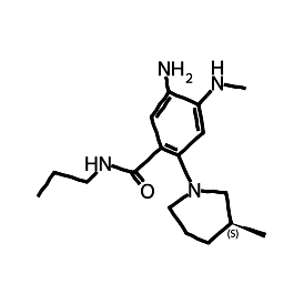 CCCNC(=O)c1cc(N)c(NC)cc1N1CCC[C@H](C)C1